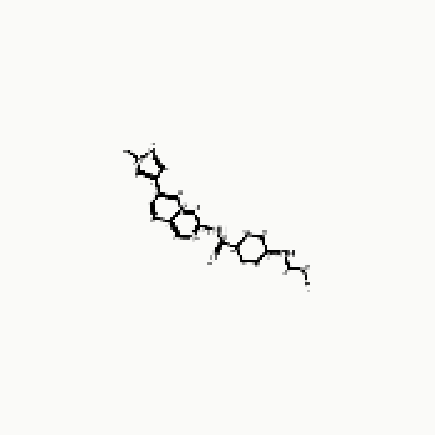 Cn1cc(-c2ccc3cnc(NC(=O)C4CCC(NCCF)CC4)cc3c2)cn1